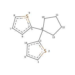 c1csc(C2(c3cccs3)CCCC2)c1